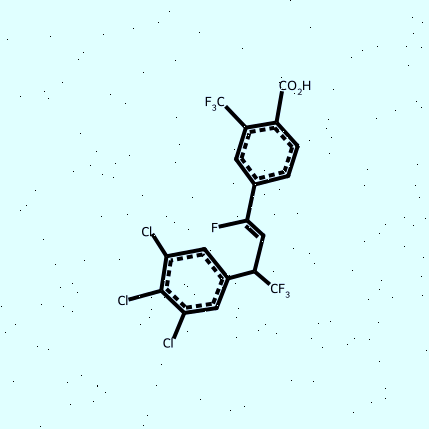 O=C(O)c1ccc(/C(F)=C/C(c2cc(Cl)c(Cl)c(Cl)c2)C(F)(F)F)cc1C(F)(F)F